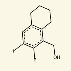 OCc1c(F)c(I)cc2c1CCCC2